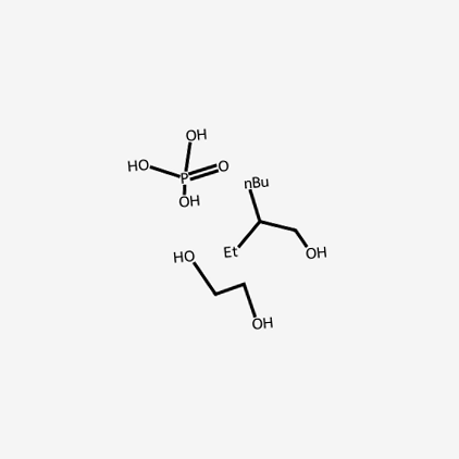 CCCCC(CC)CO.O=P(O)(O)O.OCCO